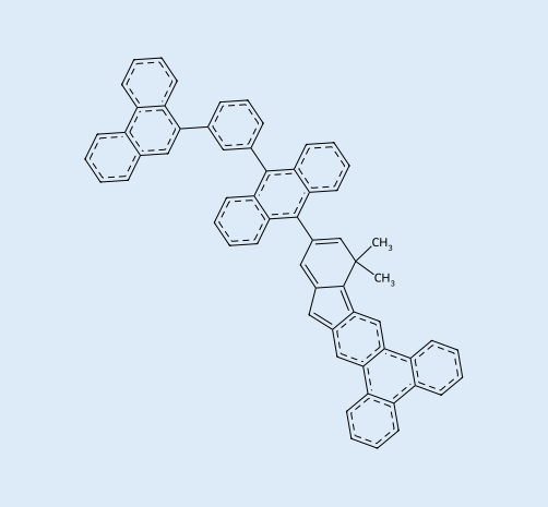 CC1(C)C=C(c2c3ccccc3c(-c3cccc(-c4cc5ccccc5c5ccccc45)c3)c3ccccc23)C=C2C=c3cc4c5ccccc5c5ccccc5c4cc3=C21